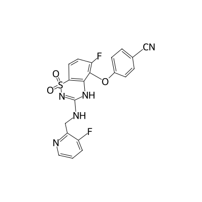 N#Cc1ccc(Oc2c(F)ccc3c2NC(NCc2ncccc2F)=NS3(=O)=O)cc1